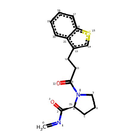 C=NC(=O)[C@@H]1CCCN1C(=O)CCc1csc2ccccc12